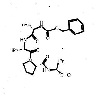 CCCC[C@H](NC(=O)OCc1ccccc1)C(=O)N[C@H](C(=O)N1CCC[C@H]1C(=O)N[C@H](C=O)C(C)C)C(C)C